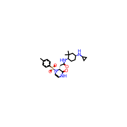 Cc1ccc(S(=O)(=O)N2C=CNC(=O)[C@H]2CC(=O)N[C@@H]2CC[C@H](NC3CC3)CC2(C)C)cc1